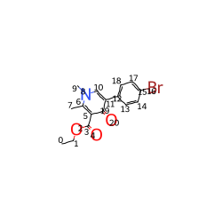 CCOC(=O)c1c(C)n(C)cc(-c2ccc(Br)cc2)c1=O